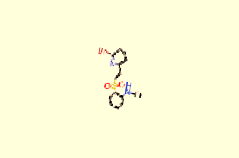 CCNc1ccccc1S(=O)(=O)/C=C/c1cccc(Br)n1